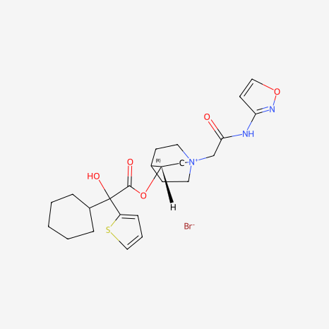 O=C(C[N+]12CCC(CC1)[C@@H](OC(=O)C(O)(c1cccs1)C1CCCCC1)C2)Nc1ccon1.[Br-]